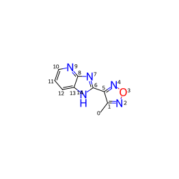 Cc1nonc1-c1nc2ncccc2[nH]1